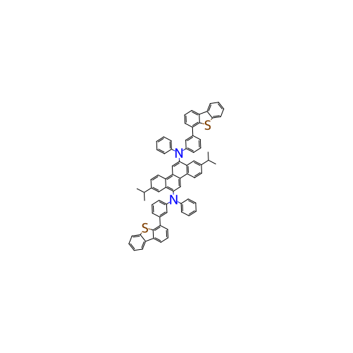 CC(C)c1ccc2c(c1)c(N(c1ccccc1)c1cccc(-c3cccc4c3sc3ccccc34)c1)cc1c3ccc(C(C)C)cc3c(N(c3ccccc3)c3cccc(-c4cccc5c4sc4ccccc45)c3)cc21